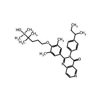 CCC(C)c1ccc(-n2c(-c3cc(C)c(OCCCC(C)(C)[Si](C)(C)O)c(C)c3)nc3ccncc3c2=O)cc1